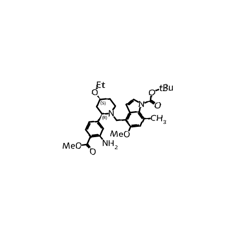 CCO[C@H]1CCN(Cc2c(OC)cc(C)c3c2ccn3C(=O)OC(C)(C)C)[C@@H](c2ccc(C(=O)OC)c(N)c2)C1